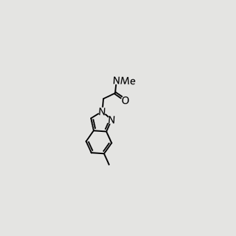 CNC(=O)Cn1cc2ccc(C)cc2n1